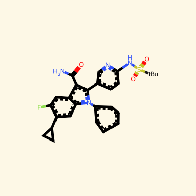 CC(C)(C)S(=O)(=O)Nc1ccc(-c2c(C(N)=O)c3cc(F)c(C4CC4)cc3n2-c2ccccc2)cn1